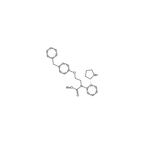 COC(=O)N(CCOc1ccc(Cc2ccccc2)cc1)c1ccccc1[C@@H]1CCCN1